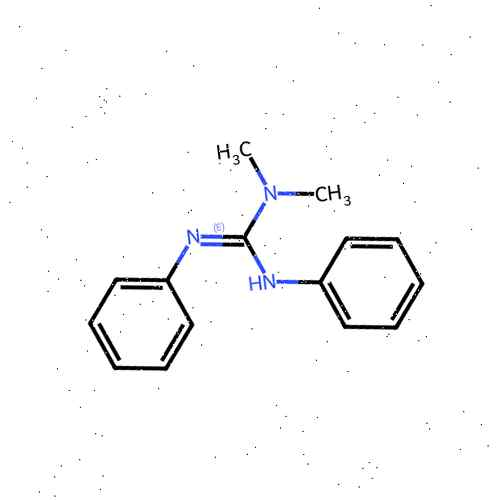 CN(C)/C(=N/c1ccccc1)Nc1ccccc1